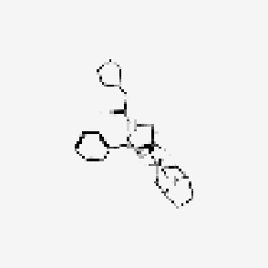 O=C(CC1CCCC1)N1Cc2nc(N3C4CCC3CN(C(=O)OCc3ccccc3)C4)sc2C1